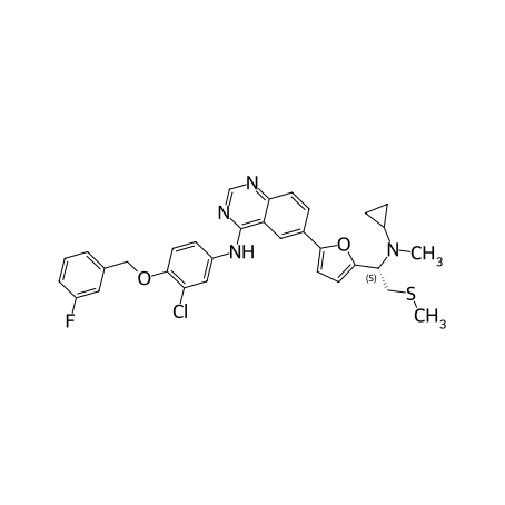 CSC[C@H](c1ccc(-c2ccc3ncnc(Nc4ccc(OCc5cccc(F)c5)c(Cl)c4)c3c2)o1)N(C)C1CC1